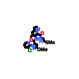 COc1cc(C(=O)Nc2c(C)cc3ccnn3c2C(=O)NCCSC)n(-c2ncccc2Cl)n1